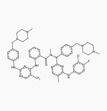 Cc1cnc(N(c2ccc(CN3CCN(C)CC3)cc2)N(C)C(=O)c2ccccc2Nc2nc(Nc3ccc(CN4CCN(C)CC4)cc3)ncc2C(F)(F)F)nc1Nc1ccc(F)c(Cl)c1